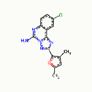 Cc1cc(C)c(-c2nc3c4cc(Cl)ccc4nc(N)n3n2)o1